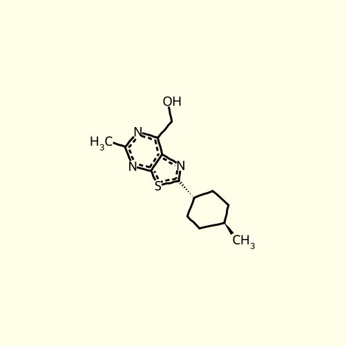 Cc1nc(CO)c2nc([C@H]3CC[C@H](C)CC3)sc2n1